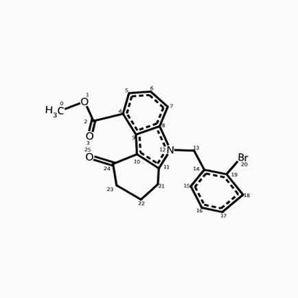 COC(=O)c1cccc2c1c1c(n2Cc2ccccc2Br)CCCC1=O